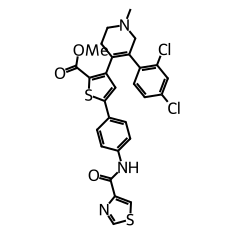 COC(=O)c1sc(-c2ccc(NC(=O)c3cscn3)cc2)cc1C1=C(c2ccc(Cl)cc2Cl)CN(C)CC1